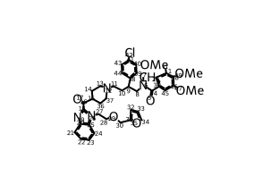 COc1cc(C(=O)N(C)CC(CCN2CCC(C(=O)c3nc4ccccc4n3CCOCc3ccco3)CC2)c2ccc(Cl)cc2)cc(OC)c1OC